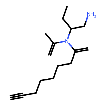 C#CCCCCCC(=C)N(C(=C)C)C(CC)CN